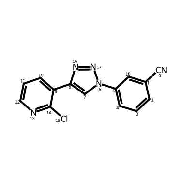 N#Cc1cccc(-n2cc(-c3cccnc3Cl)nn2)c1